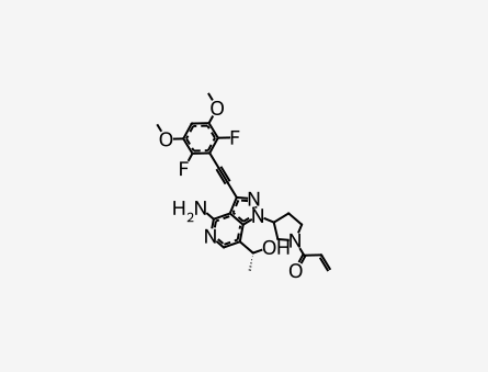 C=CC(=O)N1CCC(n2nc(C#Cc3c(F)c(OC)cc(OC)c3F)c3c(N)ncc([C@@H](C)O)c32)C1